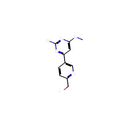 CNc1cc(-c2ccc(CO)nc2)nc(N)n1